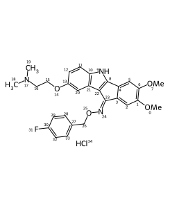 COc1cc2c(cc1OC)-c1[nH]c3ccc(OCCN(C)C)cc3c1/C2=N\OCc1ccc(F)cc1.Cl